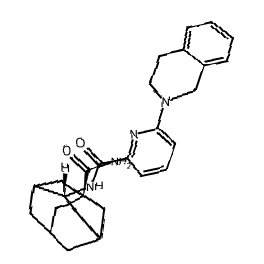 NC(=O)[C@]12CC3CC(C1)[C@@H](NC(=O)c1cccc(N4CCc5ccccc5C4)n1)C(C3)C2